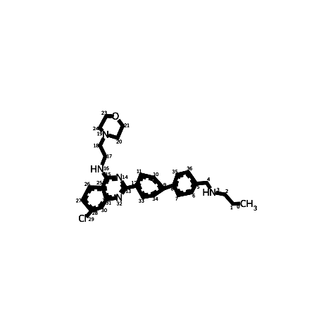 CCCNCc1ccc(-c2ccc(-c3nc(NCCN4CCOCC4)c4ccc(Cl)cc4n3)cc2)cc1